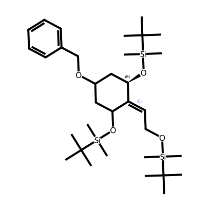 CC(C)(C)[Si](C)(C)OC/C=C1\C(O[Si](C)(C)C(C)(C)C)CC(OCc2ccccc2)C[C@H]1O[Si](C)(C)C(C)(C)C